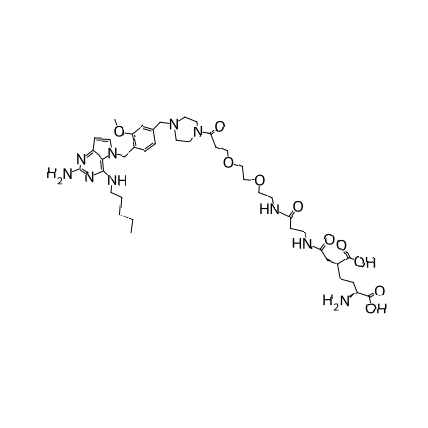 CCCCCNc1nc(N)nc2ccn(Cc3ccc(CN4CCN(C(=O)CCOCCOCCNC(=O)CCNC(=O)C[C@H](CC[C@H](N)C(=O)O)C(=O)O)CC4)cc3OC)c12